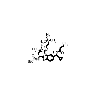 CC(C)(C)[S@@+]([O-])N[C@@H](CC(C)(C)C(F)(F)F)c1nc2ccc(C(NC(=O)CCC(F)(F)F)C3CC3)cc2n1COCC[Si](C)(C)C